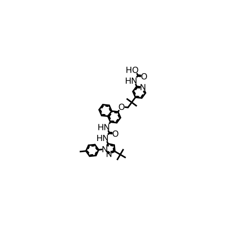 Cc1ccc(-n2nc(C(C)(C)C)cc2NC(=O)Nc2ccc(OCC(C)(C)c3ccnc(NC(=O)O)c3)c3ccccc23)cc1